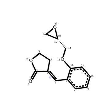 O=C1OCC/C1=C\c1ccccc1OC[C@@H]1CO1